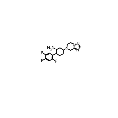 N[C@H]1C[C@@H](N2CCn3ncnc3C2)CCC1c1cc(F)c(F)cc1F